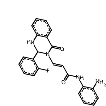 Nc1ccccc1NC(=O)C=CN1C(=O)c2ccccc2NC1c1ccccc1F